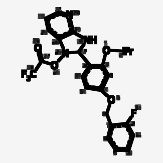 CC(C)Oc1cc(OCc2ccccc2F)ccc1C1Nc2ncccc2N1OC(=O)C(F)(F)F